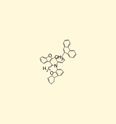 C=C(c1c(C)oc2ccccc12)N(c1ccc(-c2cc3ccccc3c3ccccc23)cc1)c1cccc2c1OC1C=CCCC21